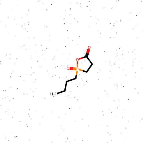 CCCCP1(=O)CCC(=O)O1